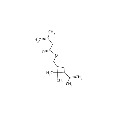 C=C(C)CC(=O)OCC1CC(C(=C)C)C1(C)C